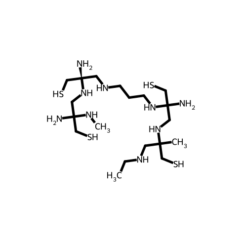 CCNCC(C)(CS)NCC(N)(CS)NCCCNC[C@@](N)(CS)NCC(N)(CS)NC